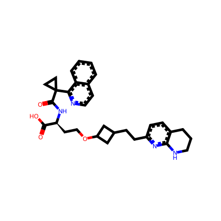 O=C(O)[C@H](CCOC1CC(CCc2ccc3c(n2)NCCC3)C1)NC(=O)C1(c2nccc3ccccc23)CC1